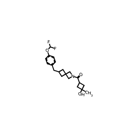 CC1(O)CC(C(=O)N2CC3(CC(Cc4ccc(OC(F)F)cc4)C3)C2)C1